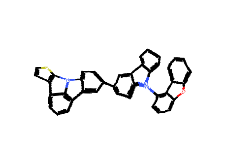 c1ccc2c(c1)oc1cccc(-n3c4ccccc4c4cc(-c5ccc6c(c5)c5cccc7c8ccsc8n6c57)ccc43)c12